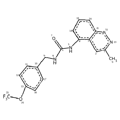 Cc1cc2c(NC(=O)NCc3ccc(OC(F)(F)F)cc3)cccc2nn1